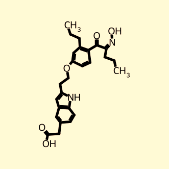 CCC/C(=N/O)C(=O)c1ccc(OCCc2cc3cc(CC(=O)O)ccc3[nH]2)cc1CCC